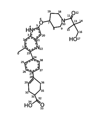 Cc1cc2[nH]c(OC3CCN(C(=O)C(C)(C)CO)CC3)cc2nc1-c1ccc(C2=CCC(C(=O)O)CC2)cc1